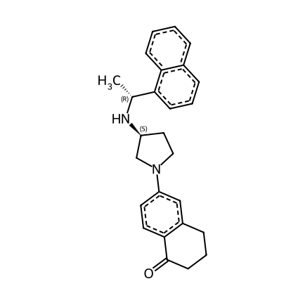 C[C@@H](N[C@H]1CCN(c2ccc3c(c2)CCCC3=O)C1)c1cccc2ccccc12